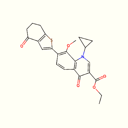 CCOC(=O)c1cn(C2CC2)c2c(OC)c(-c3cc4c(s3)CCCC4=O)ccc2c1=O